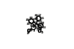 COC(=O)C1C[C@@H](OC)CN1C(c1ccccc1)(c1ccccc1)c1ccccc1